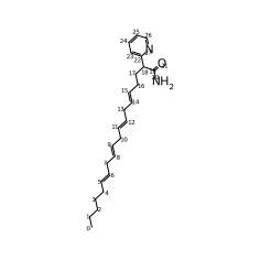 CCCCCC=CCC=CCC=CCC=CCCC(C(N)=O)c1ccccn1